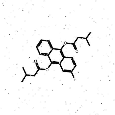 CC(C)CC(=O)Oc1c2ccccc2c(OC(=O)CC(C)C)c2cc(F)ccc12